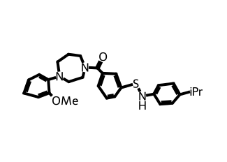 COc1ccccc1N1CCCN(C(=O)c2cccc(SNc3ccc(C(C)C)cc3)c2)CC1